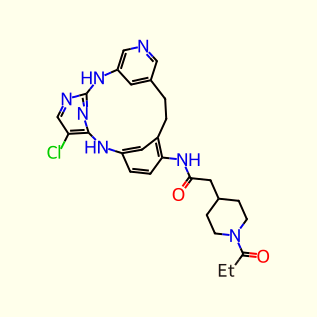 CCC(=O)N1CCC(CC(=O)Nc2ccc3cc2CCc2cncc(c2)Nc2ncc(Cl)c(n2)N3)CC1